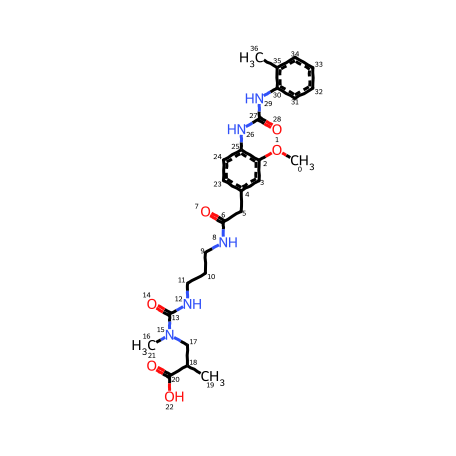 COc1cc(CC(=O)NCCCNC(=O)N(C)CC(C)C(=O)O)ccc1NC(=O)Nc1ccccc1C